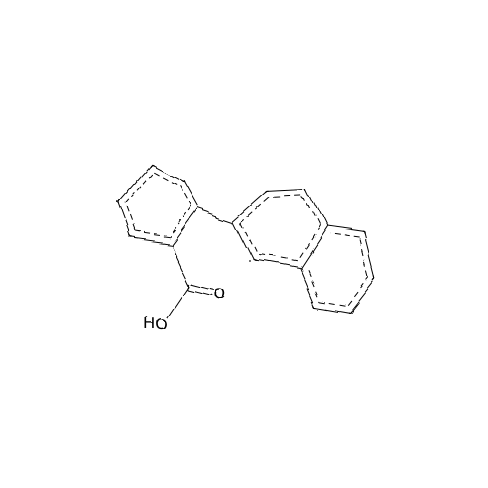 O=C(O)c1ccccc1-c1[c]c2ccccc2cc1